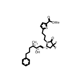 COC(=O)c1ccc(CCCN2C(=O)C(F)(F)C[C@@H]2C=C[C@H](O)[C@H](C)CCCc2ccccc2)s1